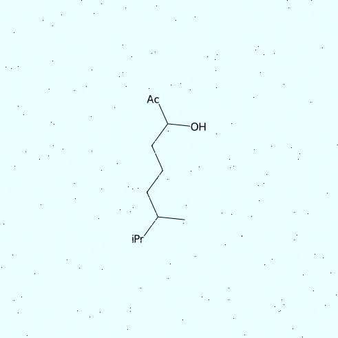 CC(=O)C(O)CCCC(C)C(C)C